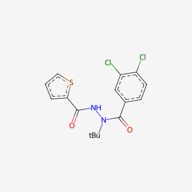 CC(C)(C)N(NC(=O)c1cccs1)C(=O)c1ccc(Cl)c(Cl)c1